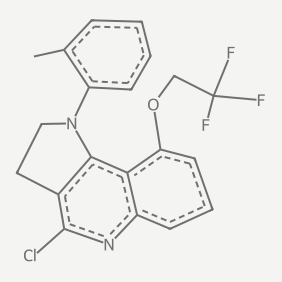 Cc1ccccc1N1CCc2c(Cl)nc3cccc(OCC(F)(F)F)c3c21